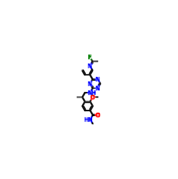 C=C/C(=C\N=C(/C)F)c1ncnc(NCC(C)c2ccc(C(=O)NC)cc2OC)n1